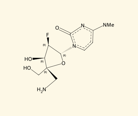 CNc1ccn([C@@H]2O[C@](CN)(CO)[C@@H](O)[C@H]2F)c(=O)n1